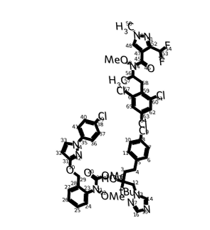 CC(C)(C)C(O)(CCc1ccc(Cl)cc1)Cn1cncn1.COC(=O)N(OC)c1ccccc1COc1ccn(-c2ccc(Cl)cc2)n1.CON(C(=O)c1cn(C)nc1C(F)F)C(C)Cc1c(Cl)cc(Cl)cc1Cl